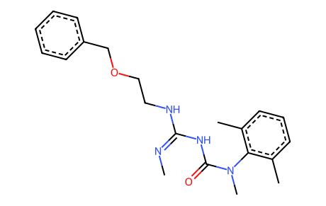 CN=C(NCCOCc1ccccc1)NC(=O)N(C)c1c(C)cccc1C